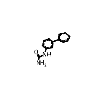 NC(=O)Nc1[c]ccc(-c2ccccc2)c1